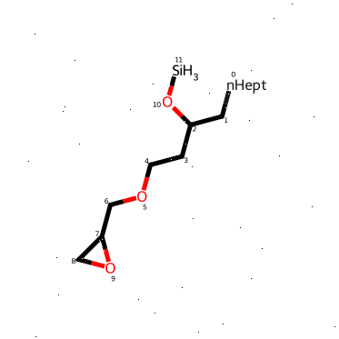 CCCCCCCCC(CCOCC1CO1)O[SiH3]